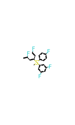 C=C(F)/C=C(\C=C\F)S(C)(c1ccc(F)cc1)c1cc(F)cc(F)c1